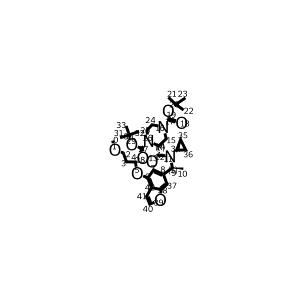 COCCCOc1cc([C@H](C)N(C(=O)[C@H]2CN(C(=O)OC(C)(C)C)CCN2C(=O)OC(C)(C)C)C2CC2)cc2occc12